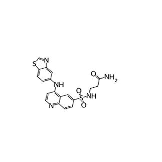 NC(=O)CCNS(=O)(=O)c1ccc2nccc(Nc3ccc4scnc4c3)c2c1